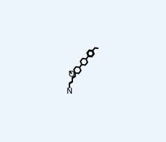 CCc1ccc(C2CCC(C3CCC(C=CC=CC#N)(OC)CC3)CC2)cc1